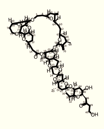 C=C1C[C@@H]2CCO[C@H]3[C@@H]4O[C@H]5CC[C@H](CC(=O)O[C@@H]6[C@@H](C)[C@@H]7O[C@@H]8C[C@]9(C[C@@H]%10O[C@]%11(C[C@H](C)[C@@H]%12O[C@H](CC(=O)CCO)[C@H](O)C[C@@H]%12O%11)C[C@H](C)[C@@H]%10O9)O[C@@H]8C[C@@H]7O[C@H]6C[C@H]6O[C@@H](CC[C@@H]1O2)C[C@@H](C)C6=C)O[C@@H]5[C@@H]1OCC[C@H]3O[C@@H]14